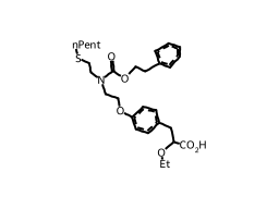 CCCCCSCCN(CCOc1ccc(CC(OCC)C(=O)O)cc1)C(=O)OCCc1ccccc1